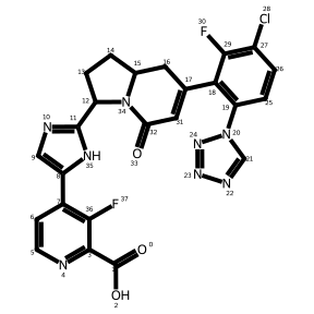 O=C(O)c1nccc(-c2cnc(C3CCC4CC(c5c(-n6cnnn6)ccc(Cl)c5F)=CC(=O)N43)[nH]2)c1F